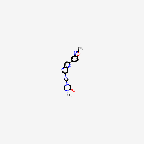 Cc1nc2cc(-c3ccc4ncc(N5CC(N6CCN(C)C(=O)C6)C5)cc4n3)ccc2o1